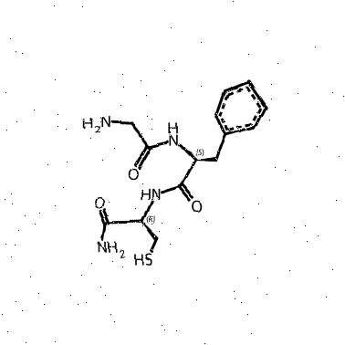 NCC(=O)N[C@@H](Cc1ccccc1)C(=O)N[C@@H](CS)C(N)=O